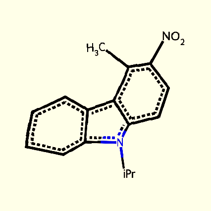 Cc1c([N+](=O)[O-])ccc2c1c1ccccc1n2C(C)C